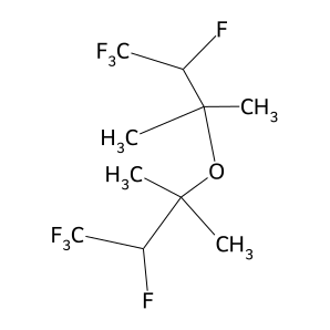 CC(C)(OC(C)(C)C(F)C(F)(F)F)C(F)C(F)(F)F